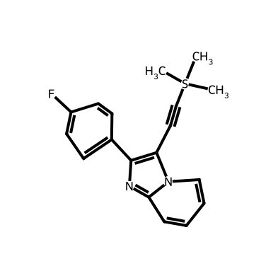 CS(C)(C)C#Cc1c(-c2ccc(F)cc2)nc2ccccn12